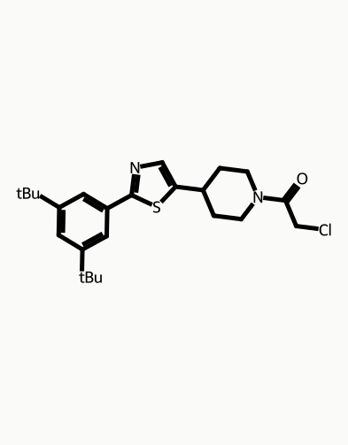 CC(C)(C)c1cc(-c2ncc(C3CCN(C(=O)CCl)CC3)s2)cc(C(C)(C)C)c1